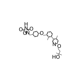 Cc1cc(OCCC(C)(C)O)ncc1-c1cccc(COc2ccc(Cn3oc(=O)[nH]c3=O)cc2)c1C